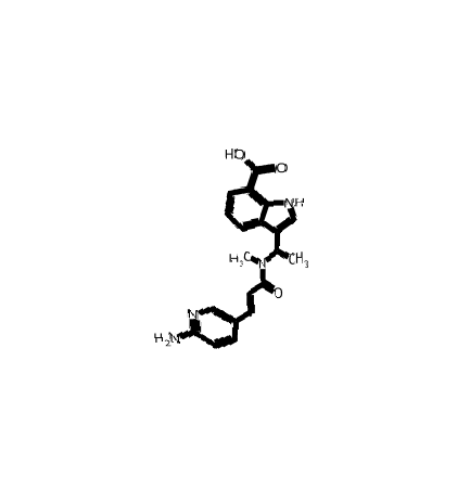 CC(c1c[nH]c2c(C(=O)O)cccc12)N(C)C(=O)C=Cc1ccc(N)nc1